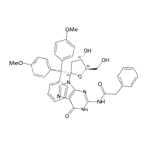 COc1ccc(C(c2ccccc2)(c2ccc(OC)cc2)[C@]2(n3cnc4c(=O)[nH]c(NC(=O)Cc5ccccc5)nc43)C[C@H](O)[C@@H](CO)O2)cc1